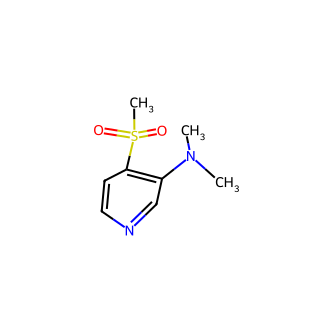 CN(C)c1cnccc1S(C)(=O)=O